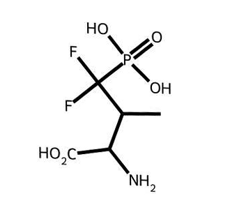 CC(C(N)C(=O)O)C(F)(F)P(=O)(O)O